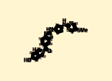 CSc1cnc(N[C@H]2CC[C@H](Nc3nc4ccc(C(=O)N5CC6C[C@@H](O)C[C@H]6C5)cc4s3)C2)nc1